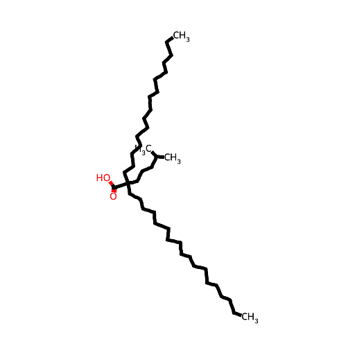 CCCCCCCCCCCCCCCCCCC(CCCCCCCCCCCCCCCC)(CCCC(C)C)C(=O)O